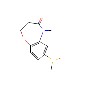 CN1C(=O)CCOc2ccc([S+](C)[O-])cc21